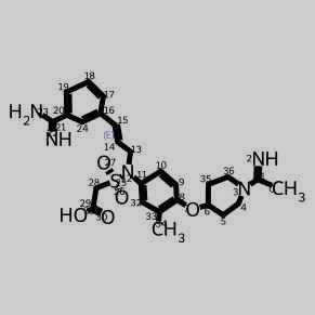 CC(=N)N1CCC(Oc2ccc(N(C/C=C/c3cccc(C(=N)N)c3)S(=O)(=O)CC(=O)O)cc2C)CC1